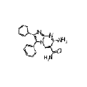 NC(=O)c1cn2c(-c3ccccc3)c(-c3ccccc3)nc2nc1N